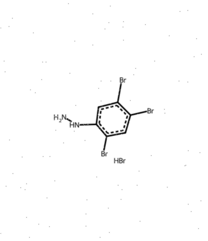 Br.NNc1cc(Br)c(Br)cc1Br